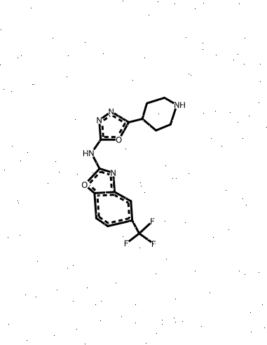 FC(F)(F)c1ccc2oc(Nc3nnc(C4CCNCC4)o3)nc2c1